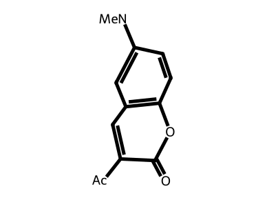 CNc1ccc2oc(=O)c(C(C)=O)cc2c1